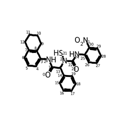 O=C(Nc1cccc2c1CCCC2)C(c1ccccc1)N(S)C(=O)Nc1ccccc1[N+](=O)[O-]